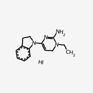 CCN1CC=C(N2CCc3ccccc32)N=C1N.I